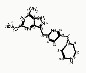 CCCCOc1nc(N)c2[nH]nc(Cc3ccc(CN4CCNCC4)cn3)c2n1